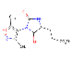 CCOC(=O)CCC1NC(=O)N(c2c(C)noc2C)C1=O